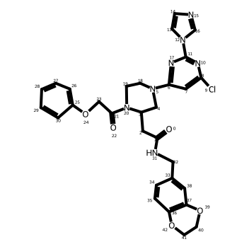 O=C(CC1CN(c2cc(Cl)nc(-n3ccnc3)n2)CCN1C(=O)COc1ccccc1)NCc1ccc2c(c1)OCCO2